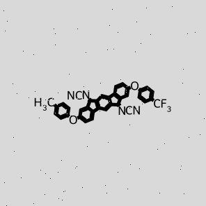 Cc1ccc(Oc2ccc3c(c2)/c(=N\C#N)c2cc4c(cc23)/c(=N/C#N)c2cc(Oc3ccc(C(F)(F)F)cc3)ccc24)cc1